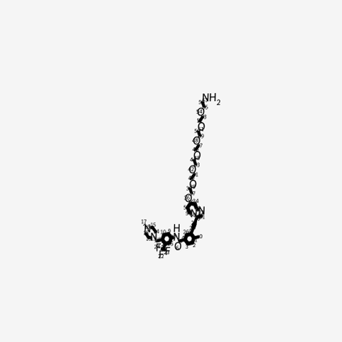 Cc1ccc(C(=O)Nc2ccc(CN3CCN(C)CC3)c(C(F)(F)F)c2)cc1C#Cc1cnc2cc(OCCOCCOCCOCCOCCOCCOCCN)ccn12